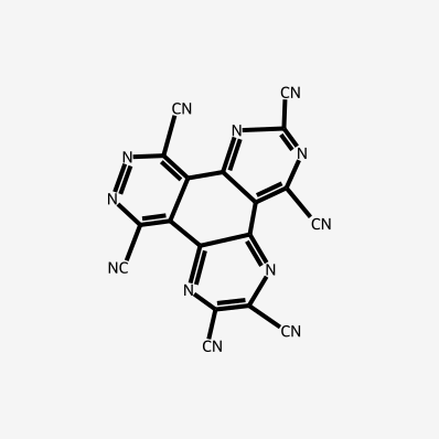 N#Cc1nc(C#N)c2c3nc(C#N)c(C#N)nc3c3c(C#N)nnc(C#N)c3c2n1